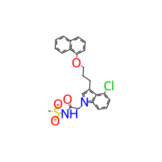 CS(=O)(=O)NC(=O)Cn1cc(CCCOc2cccc3ccccc23)c2c(Cl)cccc21